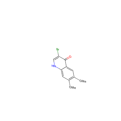 COc1cc2[nH]cc(Br)c(=O)c2cc1OC